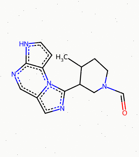 CC1CCN(C=O)CC1c1ncc2cnc3[nH]ccc3n12